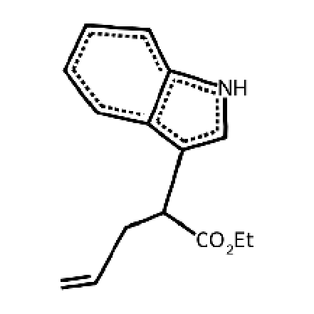 C=CCC(C(=O)OCC)c1c[nH]c2ccccc12